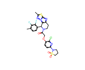 Cc1nn2c3c(nc2s1)CCN(C(=O)COc1ccc(N2CCCS2(=O)=O)nc1Cl)C3c1ccc(C)c(F)c1F